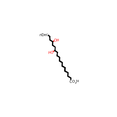 CCCCCCCCCCCCC(O)CCC(O)CCCCCCCCCCCC(=O)O